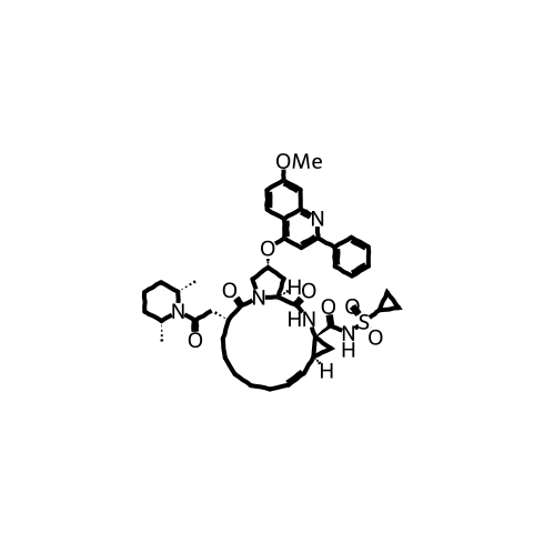 COc1ccc2c(O[C@@H]3C[C@H]4C(=O)N[C@]5(C(=O)NS(=O)(=O)C6CC6)C[C@H]5/C=C\CCCCC[C@H](CC(=O)N5[C@H](C)CCC[C@@H]5C)C(=O)N4C3)cc(-c3ccccc3)nc2c1